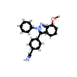 COc1cccc2c(-c3ccc(C#N)cc3)n(-c3ccccc3)nc12